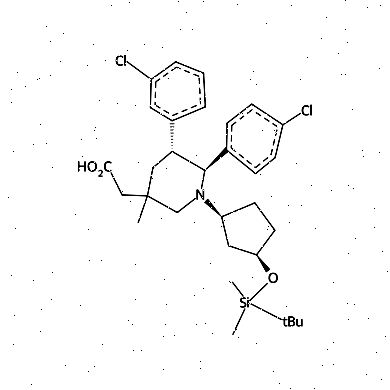 CC1(CC(=O)O)C[C@H](c2cccc(Cl)c2)[C@@H](c2ccc(Cl)cc2)N([C@H]2CC[C@@H](O[Si](C)(C)C(C)(C)C)C2)C1